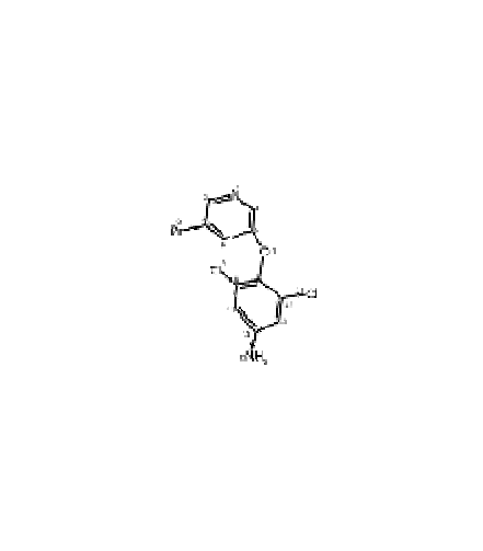 CC(C)c1cncc(Oc2c(Cl)cc(N)cc2Cl)c1